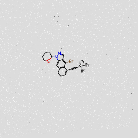 CC(C)[Si](C#CC1=CCCc2cc3c(cnn3C3CCCCO3)c(Br)c21)(C(C)C)C(C)C